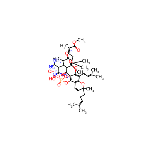 COC(=O)/C(C)=C\CC12OC(C)(C)C(C)C13Oc1c(CC=C(C)C)c4c(c(OP(=O)(O)O)c1C(=O)C3C(C(/C(N)=N/O)/C(N)=N\O)C(C)C2=O)C=CC(C)(CCC=C(C)C)O4